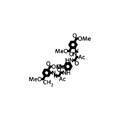 C=C(OC)c1ccc(C(=O)OC)c(/N=N/C(C(C)=O)C(=O)Nc2ccc(NC(=O)C(/N=N/c3cc(C(=O)OC)ccc3C(=O)OC)C(C)=O)cc2Cl)c1